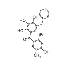 Cc1cc(C(=O)c2cc(Cc3ccccc3)c(O)c(O)c2O)c(C(C)C)cc1O